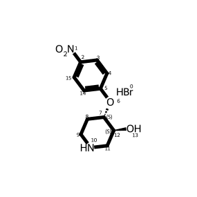 Br.O=[N+]([O-])c1ccc(O[C@H]2CCNC[C@@H]2O)cc1